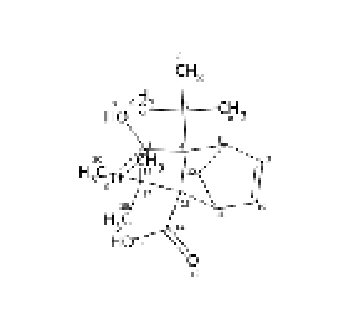 CC(C)(C)C1(C(=O)O)C2C=CC(C2)C1(C(=O)O)C(C)(C)C